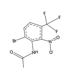 CC(=O)Nc1c(Br)ccc(C(F)(F)F)c1[N+](=O)[O-]